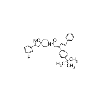 CC(C)(C)c1ccc(C(/C=C/c2ccccc2)=C/C(=O)N2CCC3(CC2)CC(c2cccc(F)c2)=NO3)cc1